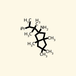 CC(C)C(C)C(C)(C)C1(N)CC2(C)CC(C)(C)CC2(C)C1